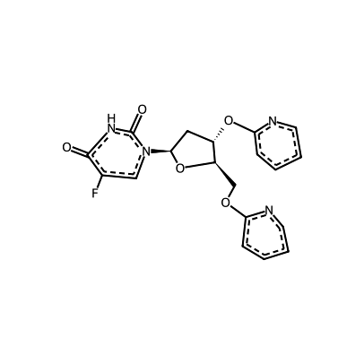 O=c1[nH]c(=O)n([C@H]2C[C@H](Oc3ccccn3)[C@@H](COc3ccccn3)O2)cc1F